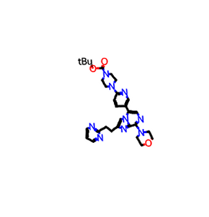 CC(C)(C)OC(=O)N1CCN(c2ccc(-c3cnc(N4CCOCC4)c4nc(CCc5ncccn5)cn34)cn2)CC1